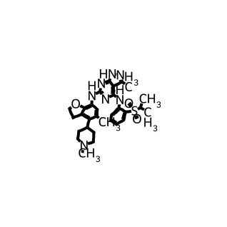 Cc1cc(Nc2nc(Nc3ccccc3S(=O)(=O)C(C)C)c3c(C)n[nH]c3n2)c2c(c1C1CCN(C)CC1)CCO2